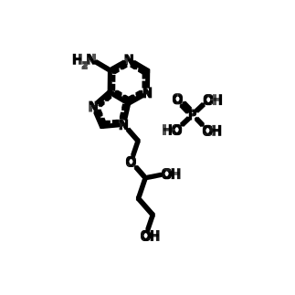 Nc1ncnc2c1ncn2COC(O)CCO.O=P(O)(O)O